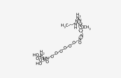 CCCCCNc1nc(N)nc2ccn(Cc3ccc(CN4CCN(C(=O)CCOCCOCCOCCOCCOCCOCCNC(=O)[C@H](CC(=O)O)SC[C@H](N)C(=O)O)CC4)cc3OC)c12